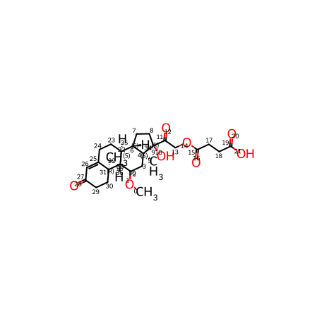 CO[C@@H]1C[C@@]2(C)[C@@H](CC[C@]2(O)C(=O)COC(=O)CCC(=O)O)[C@@H]2CCC3=CC(=O)CC[C@]3(C)[C@H]21